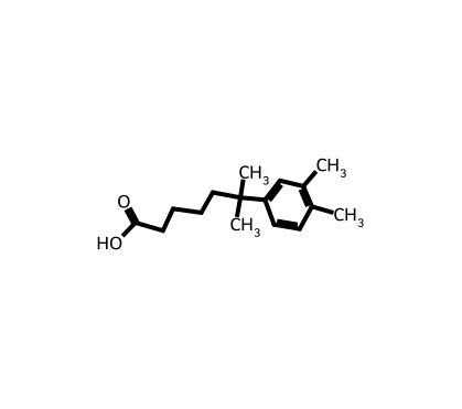 Cc1ccc(C(C)(C)CCCCC(=O)O)cc1C